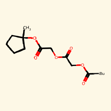 CCC(C)C(=O)OCC(=O)OCC(=O)OC1(C)CCCC1